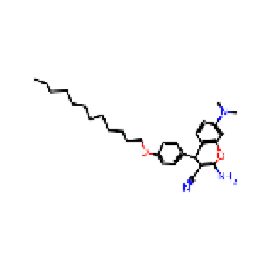 CCCCCCCCCCCCOc1ccc(C2C(C#N)=C(N)Oc3cc(N(C)C)ccc32)cc1